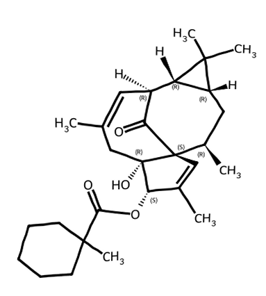 CC1=C[C@@H]2C(=O)[C@]3(C=C(C)[C@H](OC(=O)C4(C)CCCCC4)[C@@]3(O)C1)[C@H](C)C[C@@H]1[C@H]2C1(C)C